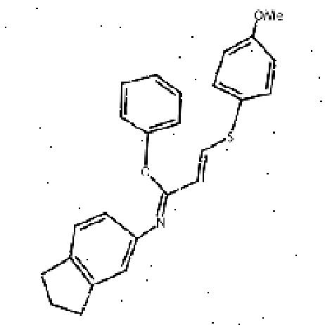 COc1ccc(S/C=C/C(=N/c2ccc3c(c2)CCC3)Oc2ccccc2)cc1